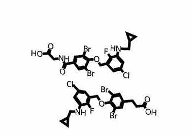 O=C(O)CCc1cc(Br)c(OCc2cc(Cl)cc(NCC3CC3)c2F)c(Br)c1.O=C(O)CNC(=O)c1cc(Br)c(OCc2cc(Cl)cc(NCC3CC3)c2F)c(Br)c1